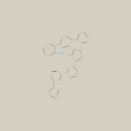 c1cc(-c2cccc3c2sc2ccccc23)cc(-c2ccc3c4ccccc4c4ccc5c6ccccc6n6c2c3c4c56)c1